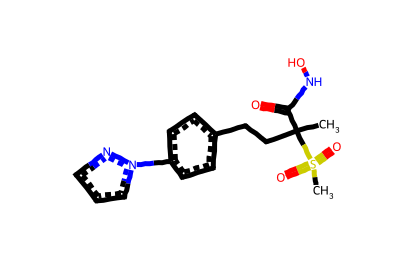 CC(CCc1ccc(-n2cccn2)cc1)(C(=O)NO)S(C)(=O)=O